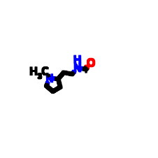 CN1CCCC1CCN[C]=O